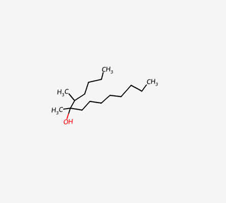 CCCCCCCCC(C)(O)C(C)CCCC